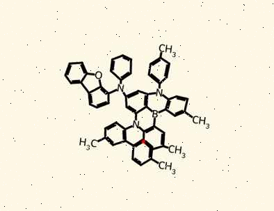 Cc1ccc(-c2cc(C)ccc2N2c3ccc(C)cc3B3c4cc(C)ccc4N(c4ccc(C)cc4)c4cc(N(c5ccccc5)c5cccc6c5oc5ccccc56)cc2c43)cc1